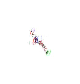 Cc1nccc(Oc2ccc(C[C@H](NC(=O)[C@@H]3Cc4cc5c(cc4CN3C(=O)OC(C)(C)C)O[C@@H](c3ccc(OCc4ccc(Cl)c(Cl)c4)cc3)CO5)C(=O)O)cc2)c1C